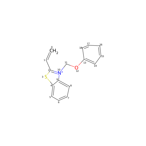 C=Cc1sc2ccccc2[n+]1COc1ccccc1